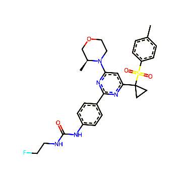 Cc1ccc(S(=O)(=O)C2(c3cc(N4CCOC[C@@H]4C)nc(-c4ccc(NC(=O)NCCF)cc4)n3)CC2)cc1